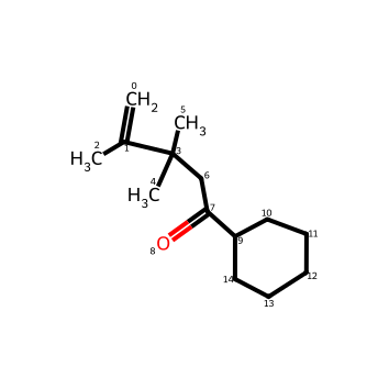 C=C(C)C(C)(C)CC(=O)C1CCCCC1